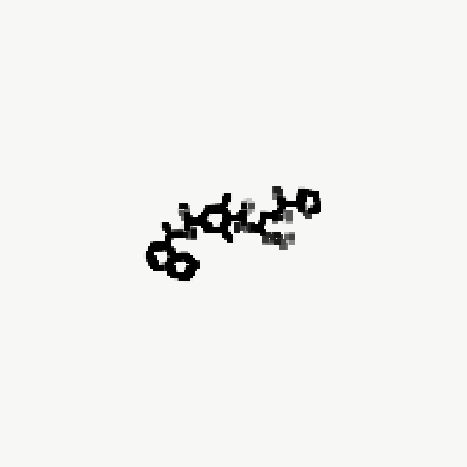 Cc1cc(C(=O)N[C@H](C)c2cccc3ccccc23)cc(C)c1C(=O)N[C@@H](CNC(=O)C1=CCCS1)C(=O)O